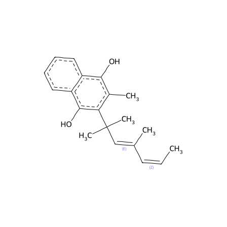 C/C=C\C(C)=C\C(C)(C)c1c(C)c(O)c2ccccc2c1O